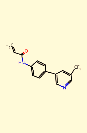 C=CC(=O)Nc1ccc(-c2cncc(C(F)(F)F)c2)cc1